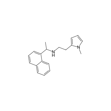 CC(NCCc1cccn1C)c1cccc2ccccc12